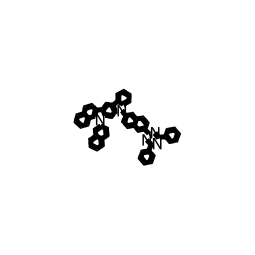 c1ccc(-c2nc(-c3ccccc3)nc(-c3ccc4cc(-n5c6ccccc6c6cc7c8ccc9ccccc9c8n(-c8ccc9ccccc9c8)c7cc65)ccc4c3)n2)cc1